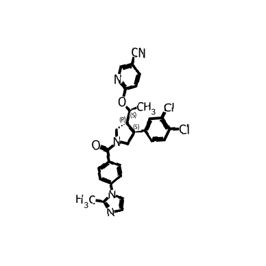 Cc1nccn1-c1ccc(C(=O)N2C[C@H]([C@H](C)Oc3ccc(C#N)cn3)[C@@H](c3ccc(Cl)c(Cl)c3)C2)cc1